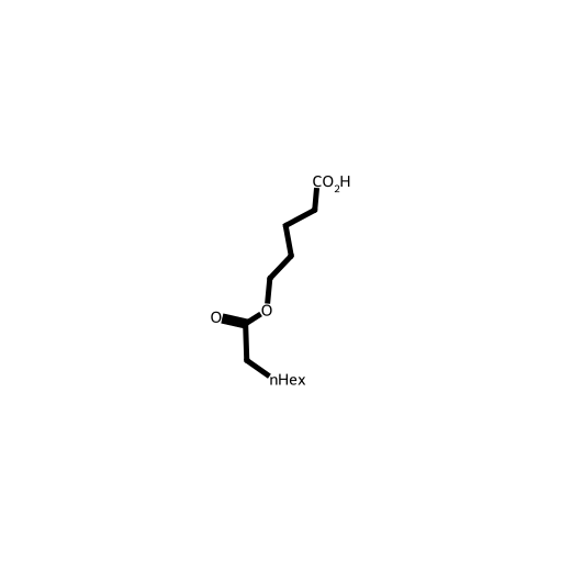 CCCCCCCC(=O)OCCCCC(=O)O